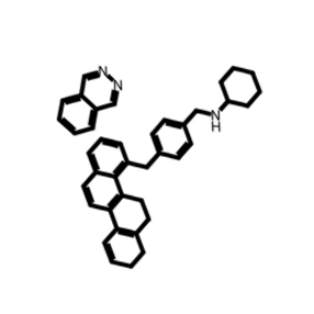 C1=CC2=C(CC1)CCc1c2ccc2cccc(Cc3ccc(CNC4CCCCC4)cc3)c12.c1ccc2cnncc2c1